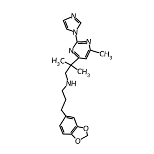 Cc1cc(C(C)(C)CNCCCc2ccc3c(c2)OCO3)nc(-n2ccnc2)n1